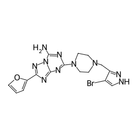 Nc1nc(N2CCN(Cc3n[nH]cc3Br)CC2)nc2nc(-c3ccco3)nn12